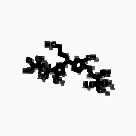 CCCCC(c1ccc(OCC(O)C(C)(C)C)c(C)c1)c1cc(C)c(C(=O)NC(C)(C)C(=O)O)s1